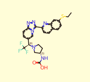 CCSc1ccc2ccc(-c3nnc4ccc([C@@H](N5CC[C@H](NC(=O)O)C5)C(F)(F)F)cn34)nc2c1